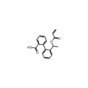 C=CC(=O)OC(C)c1ccccc1-c1ccccc1C(=O)O